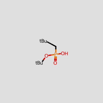 CC(C)(C)CP(=O)(O)OC(C)(C)C